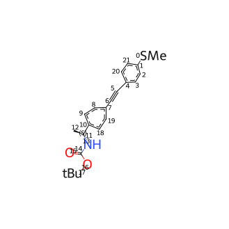 CSc1ccc(C#Cc2ccc([C@H](C)NC(=O)OC(C)(C)C)cc2)cc1